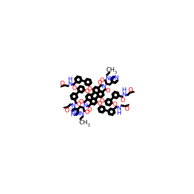 CCCNC(=O)C(Cc1ccncc1)N1C(=O)c2cc(Oc3cccc(-c4cccc(C(=O)NCC5CO5)c4)c3)c3c4c(Oc5cccc(-c6cccc(C(=O)NCC7CO7)c6)c5)cc5c6c(cc(Oc7cccc(-c8cccc(C(=O)NCC9CO9)c8)c7)c(c7c(Oc8cccc(-c9cccc(C(=O)NCC%10CO%10)c9)c8)cc(c2c37)C1=O)c64)C(=O)N(C(Cc1ccncc1)C(=O)NCCC)C5=O